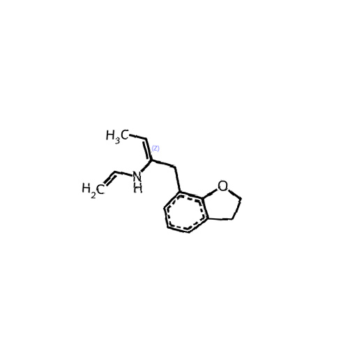 C=CN/C(=C\C)Cc1cccc2c1OCC2